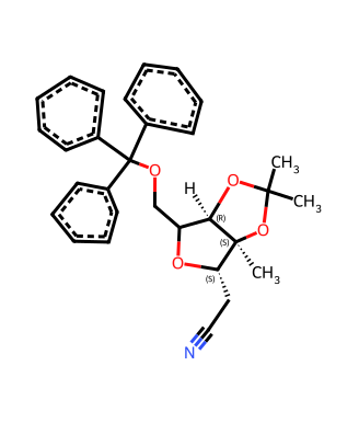 CC1(C)O[C@@H]2C(COC(c3ccccc3)(c3ccccc3)c3ccccc3)O[C@@H](CC#N)[C@]2(C)O1